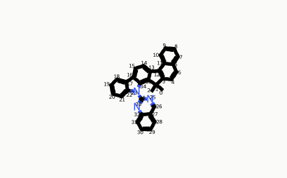 CC1(C)c2ccc3ccccc3c2-c2ccc3c4ccccc4n(-c4ncc5ccccc5n4)c3c21